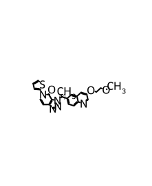 COCCOc1cnc2ccc([C@@H](C)n3nnc4ccn(-c5cccs5)c(=O)c43)cc2c1